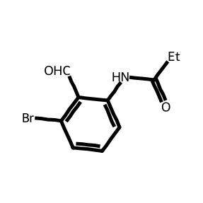 CCC(=O)Nc1cccc(Br)c1C=O